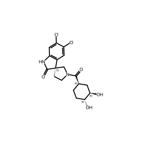 O=C([C@@H]1CC[C@@H](O)[C@H](O)C1)N1CC[C@]2(C1)C(=O)Nc1cc(Cl)c(Cl)cc12